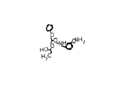 C=CC(O)OCC(COc1ccccc1)OCNCc1cccc(CN)c1